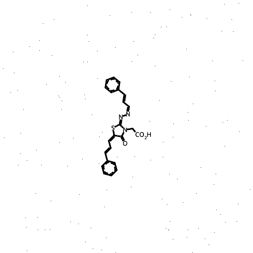 O=C(O)CN1C(=O)/C(=C\C=C\c2ccccc2)S/C1=N/N=C\C=C\c1ccccc1